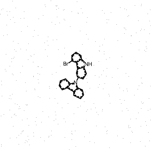 Brc1cccc2[nH]c3ccc(-n4c5ccccc5c5ccccc54)cc3c12